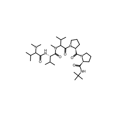 CC(C)C(C(=O)N[C@H](C(=O)N(C)C(C(=O)N1CCC[C@H]1C(=O)N1CCC[C@H]1C(=O)NC(C)(C)C)C(C)C)C(C)C)N(C)C